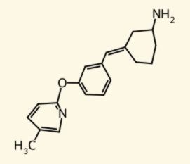 Cc1ccc(Oc2cccc(/C=C3\CCCC(N)C3)c2)nc1